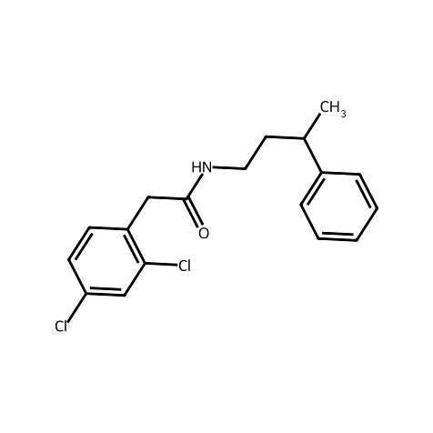 CC(CCNC(=O)Cc1ccc(Cl)cc1Cl)c1ccccc1